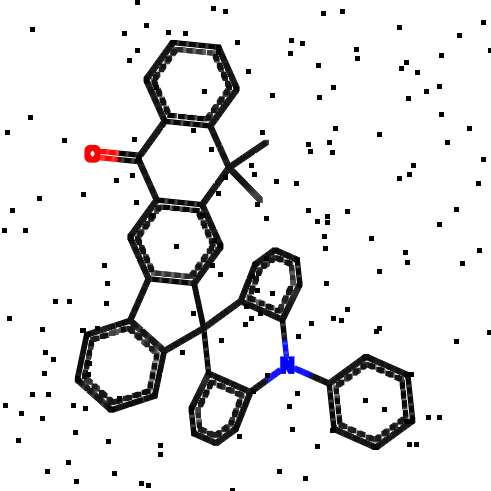 CC1(C)c2ccccc2C(=O)c2cc3c(cc21)C1(c2ccccc2-3)c2ccccc2N(c2ccccc2)c2ccccc21